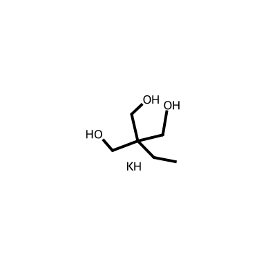 CCC(CO)(CO)CO.[KH]